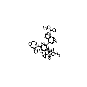 C[C@@H]1COCCN1c1cc(C2(S(C)(=N)=O)CC2)nc(-c2cncc3c2ccn3C(=O)O)n1